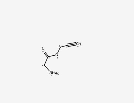 C#CCOC(=O)CNC(C)=O